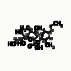 CCCc1ccc(OC2(C(=O)O)CC(O)C(C)C(C(O)C(O)CO)O2)c(C)c1